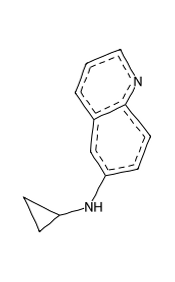 c1cnc2ccc(NC3CC3)cc2c1